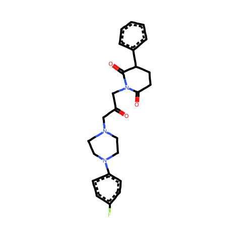 O=C(CN1CCN(c2ccc(F)cc2)CC1)CN1C(=O)CCC(c2ccccc2)C1=O